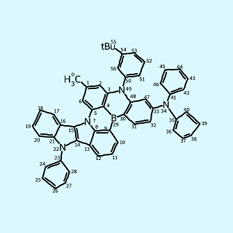 Cc1cc2c3c(c1)-n1c4c(cccc4c4c1c1ccccc1n4-c1ccccc1)B3c1ccc(N(c3ccccc3)c3ccccc3)cc1N2c1cccc(C(C)(C)C)c1